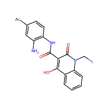 CC(=O)c1ccc(NC(=O)c2c(O)c3ccccc3n(CI)c2=O)c(N)c1